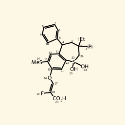 CCC1(C(C)C)CC(c2ccccc2)c2cc(SC)c(OC=C(F)C(=O)O)cc2S(O)(O)C1